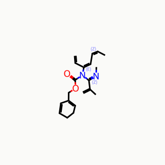 C=C/C(=C\C=C/C)N(C(=O)OCC1=CCCC=C1)/C(=N\C)C(=C)C